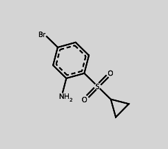 Nc1cc(Br)ccc1S(=O)(=O)C1CC1